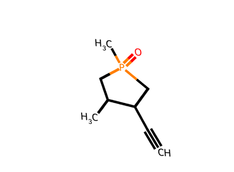 C#CC1CP(C)(=O)CC1C